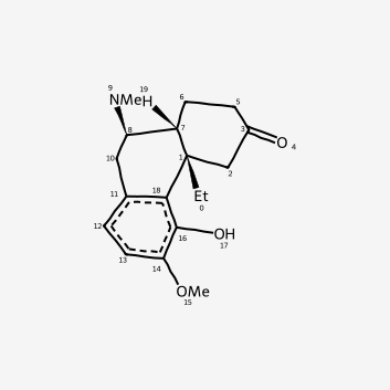 CC[C@]12CC(=O)CC[C@H]1[C@H](NC)Cc1ccc(OC)c(O)c12